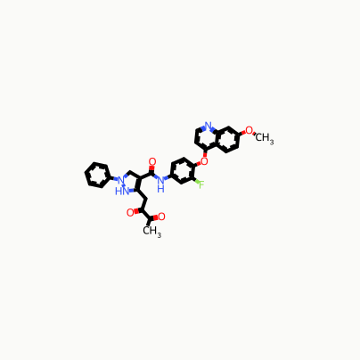 COc1ccc2c(Oc3ccc(NC(=O)C4=C(CC(=O)C(C)=O)NN(c5ccccc5)C4)cc3F)ccnc2c1